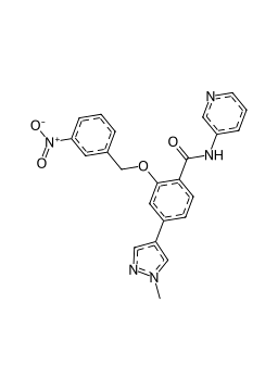 Cn1cc(-c2ccc(C(=O)Nc3cccnc3)c(OCc3cccc([N+](=O)[O-])c3)c2)cn1